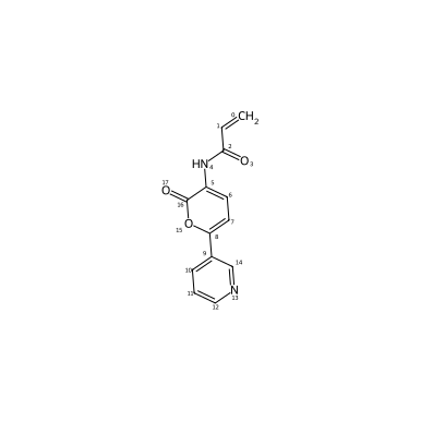 C=CC(=O)Nc1ccc(-c2cccnc2)oc1=O